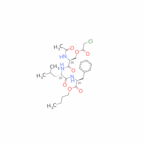 CCCCOC(=O)[C@H](Cc1ccccc1)NC(=O)[C@H](CC(C)C)NC(=O)[C@H](COC(=O)CCl)NC(C)=O